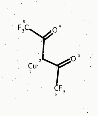 O=C(CC(=O)C(F)(F)F)C(F)(F)F.[Cu]